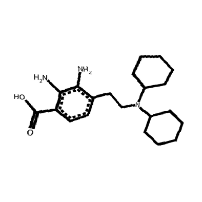 Nc1c(CCN(C2CCCCC2)C2CCCCC2)ccc(C(=O)O)c1N